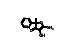 CC1(c2ccccn2)OC(N)=C(O)C1=O